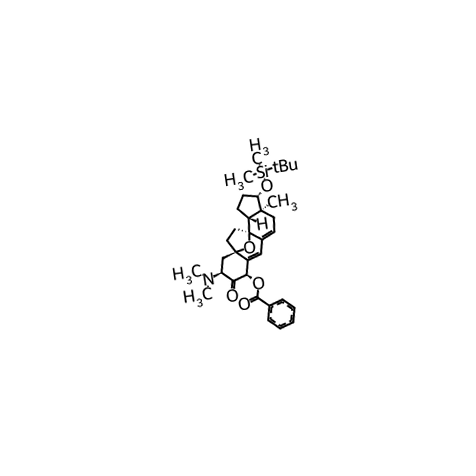 CN(C)[C@H]1C[C@@]23CC[C@@]4(O2)C(=CC[C@]2(C)[C@@H](O[Si](C)(C)C(C)(C)C)CC[C@H]24)C=C3[C@@H](OC(=O)c2ccccc2)C1=O